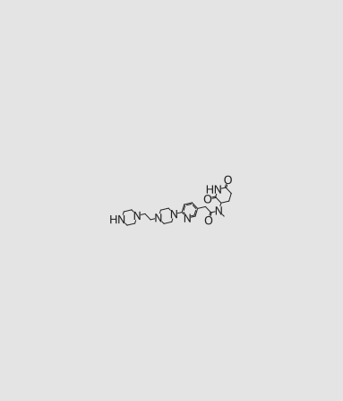 CN(C(=O)Cc1ccc(N2CCN(CCN3CCNCC3)CC2)nc1)C1CCC(=O)NC1=O